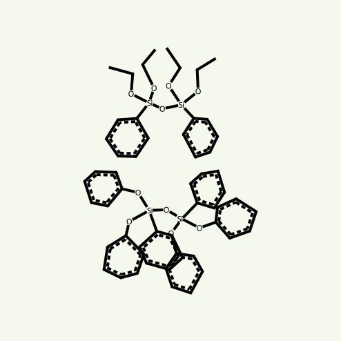 CCO[Si](OCC)(O[Si](OCC)(OCC)c1ccccc1)c1ccccc1.c1ccc(O[Si](Oc2ccccc2)(O[Si](Oc2ccccc2)(Oc2ccccc2)c2ccccc2)c2ccccc2)cc1